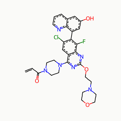 C=CC(=O)N1CCN(c2nc(OCCN3CCOCC3)nc3c(F)c(-c4cc(O)cc5cccnc45)c(Cl)cc23)CC1